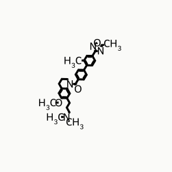 COc1cc2c(cc1CCCN(C)C)N(C(=O)c1ccc(-c3ccc(-c4noc(C)n4)cc3C)cc1)CCC2